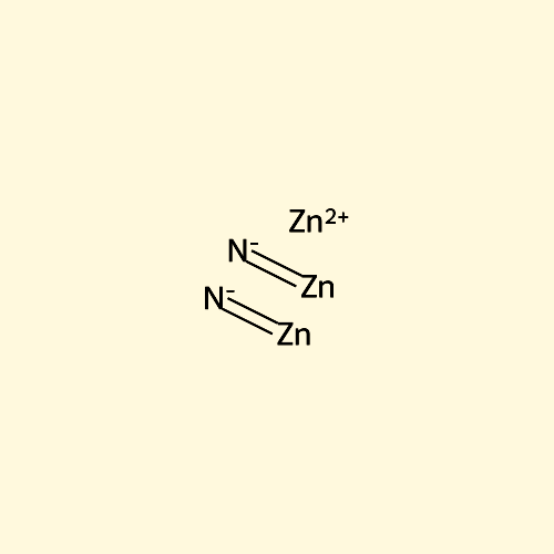 [N-]=[Zn].[N-]=[Zn].[Zn+2]